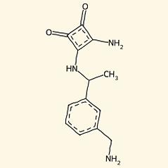 CC(Nc1c(N)c(=O)c1=O)c1cccc(CN)c1